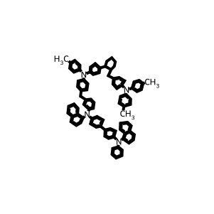 Cc1ccc(N(c2ccc(C)cc2)c2ccc(CC3CCCCC3c3ccc(N(c4ccc(C)cc4)c4ccc(Cc5cccc(N(c6ccc(-c7ccc(N(c8ccccc8)c8cccc9ccccc89)cc7)cc6)c6cccc7ccccc67)c5)cc4)cc3)cc2)cc1